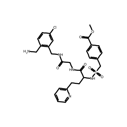 COC(=O)c1ccc(CS(=O)(=O)NC(CCc2ccccn2)C(=O)NCC(=O)NCc2cc(Cl)ccc2CN)cc1